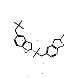 C[C@@H]1Cc2cc(CC(C)(C)[C@H]3Cc4cc(CC(C)(C)C)ccc4O3)ccc2O1